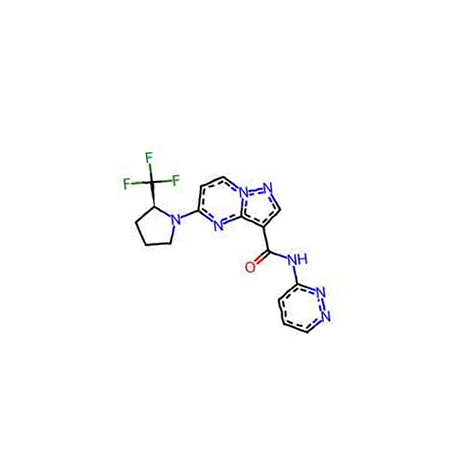 O=C(Nc1cccnn1)c1cnn2ccc(N3CCC[C@H]3C(F)(F)F)nc12